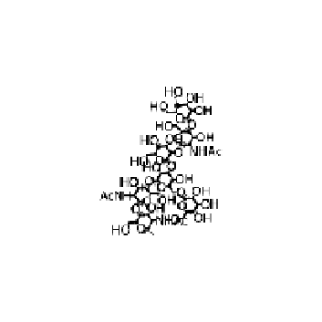 CC(=O)NC1C(O)[C@H](O[C@@H]2OC(CO[C@H]3OC(CO)[C@@H](O)C(O)C3O)[C@@H](O)C(O[C@H]3OC(CO)[C@@H](O)C(O)C3O[C@@H]3OC(CO)[C@@H](O[C@@H]4OC(CO)[C@H](CO)C(O)C4O)C(O)C3NC(C)=O)C2O)C(CO)O[C@H]1O[C@@H]1C(CO)O[C@@H](C)C(NC(C)=O)C1O